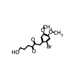 COc1cc(Br)c(CC(=O)C(=O)CCCO)cc1OC